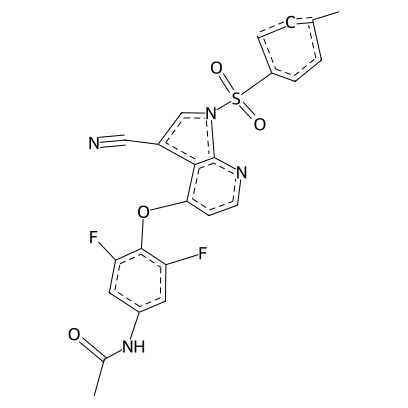 CC(=O)Nc1cc(F)c(Oc2ccnc3c2c(C#N)cn3S(=O)(=O)c2ccc(C)cc2)c(F)c1